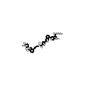 CNC(=O)c1c[nH]c2cnc(-c3cccc4cc(-c5ccc(C(=O)NCCC#Cc6cccc7c6CN(C6CCC(=O)NC6=O)C7=O)nc5)ncc34)cc12